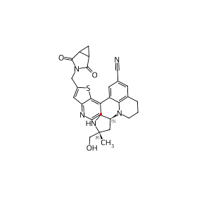 C[C@]1(CO)C[C@H](N2CCCc3cc(C#N)cc(-c4ccnc5cc(CN6C(=O)C7CC7C6=O)sc45)c32)CN1